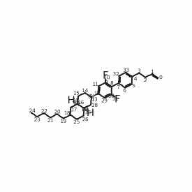 C=CCCc1ccc(-c2c(F)cc([C@@H]3CC[C@@H]4CC(CCCCCC)CC[C@@H]4C3)cc2F)cc1